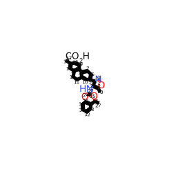 Cc1onc(-c2ccc3c(c2)CCc2cc(CC(=O)O)ccc2-3)c1NC(=O)OC(C)c1ccccc1